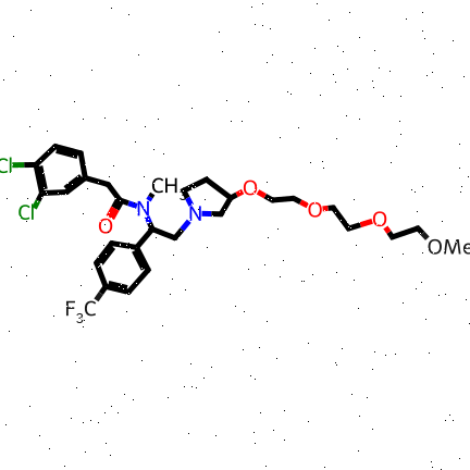 COCCOCCOCCOC1CCN(CC(c2ccc(C(F)(F)F)cc2)N(C)C(=O)Cc2ccc(Cl)c(Cl)c2)C1